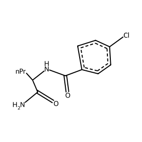 CCCC(NC(=O)c1ccc(Cl)cc1)C(N)=O